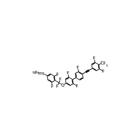 CCCCCc1cc(F)c(C(F)(F)Oc2cc(F)c(-c3ccc(C#Cc4cc(F)c(C(F)(F)F)c(F)c4)c(F)c3)c(F)c2)c(F)c1